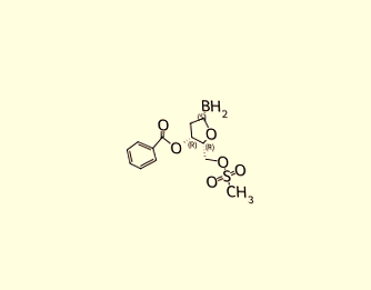 B[C@H]1C[C@@H](OC(=O)c2ccccc2)[C@@H](COS(C)(=O)=O)O1